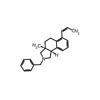 C/C=C\c1cccc2c1CC[C@@]1(C)CN(Cc3ccccc3)C[C@@H]21